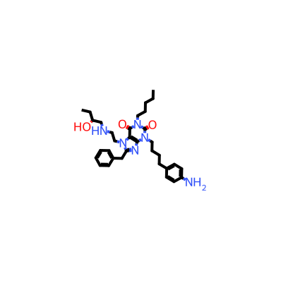 CCCCCn1c(=O)c2c(nc(Cc3ccccc3)n2CCNCC(O)CC)n(CCCCc2ccc(N)cc2)c1=O